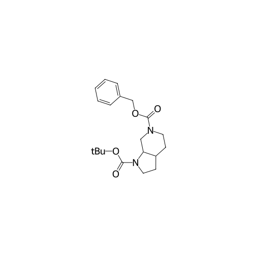 CC(C)(C)OC(=O)N1CCC2CCN(C(=O)OCc3ccccc3)CC21